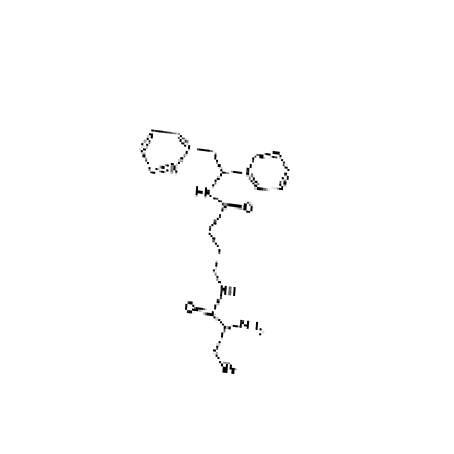 CC(C)CC(N)C(=O)NCCCC(=O)NC(Cc1ccccn1)c1ccccc1